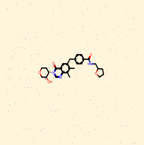 Cc1c(Cc2ccc(C(=O)NCC3CCCO3)cc2)cc2c(=O)n([C@H]3CCOC[C@@H]3O)cnc2c1C